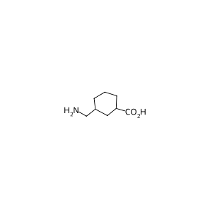 NCC1CCCC(C(=O)O)C1